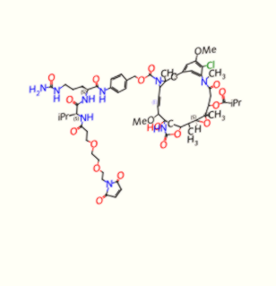 COc1cc2cc(c1Cl)N(C)C(=O)CC(OC(=O)C(C)C)[C@]1(C)O[C@H]1C(C)C1CC(O)(NC(=O)O1)C(OC)/C=C/C1N(C(=O)OCc3ccc(NC(=O)[C@H](CCCNC(N)=O)NC(=O)[C@@H](NC(=O)CCOCCOCCN4C(=O)C=CC4=O)C(C)C)cc3)C1(C)C2